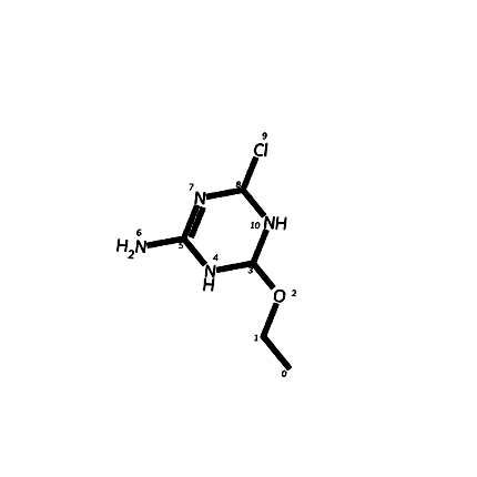 CCOC1NC(N)=NC(Cl)N1